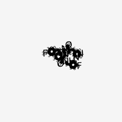 O=C(NCc1ccc(F)cc1)C1(Cn2cc(Cc3cncnc3)c(=O)nc2SCc2ccc(F)cc2)CCCCC1